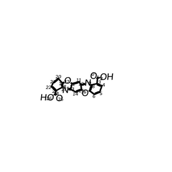 O=C(O)c1cccc2c1N=c1cc3c(cc1O2)=Nc1c(cccc1C(=O)O)O3